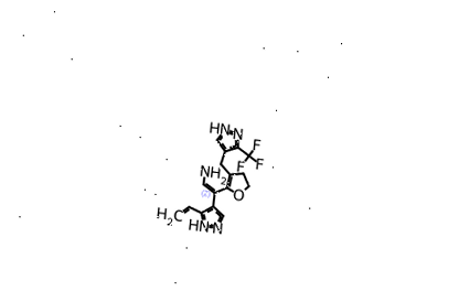 C=Cc1[nH]ncc1/C(=C/N)C1=C(Cc2c[nH]nc2C(F)(F)F)CCO1